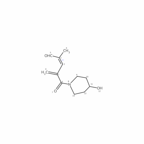 C=C(/C=C(/C)C=O)C(=O)N1CCC(O)CC1